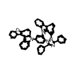 c1ccc(-c2nc(-c3ccccc3)n(-c3cccc4c5ccccc5n(-c5cccc(-n6c7ccccc7c7c8c(ccc76)oc6ccccc68)c5)c34)n2)cc1